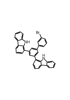 Brc1cccc(-c2cc(-c3cccc4c3[nH]c3ccccc34)cc(-c3cccc4c3[nH]c3ccccc34)c2)c1